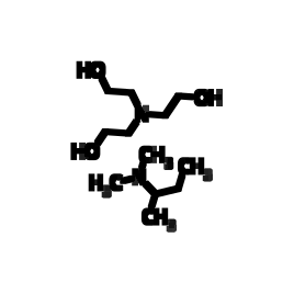 CCC(C)N(C)C.OCCN(CCO)CCO